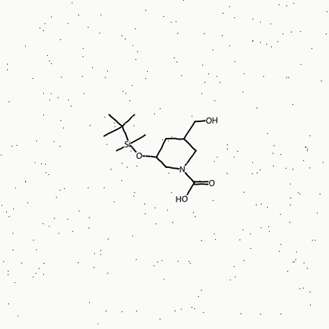 CC(C)(C)[Si](C)(C)OC1CC(CO)CN(C(=O)O)C1